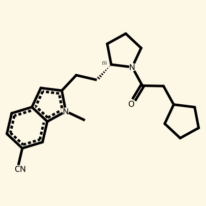 Cn1c(CC[C@@H]2CCCN2C(=O)CC2CCCC2)cc2ccc(C#N)cc21